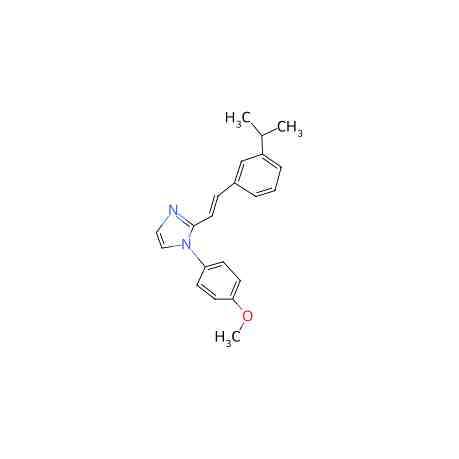 COc1ccc(-n2ccnc2C=Cc2cccc(C(C)C)c2)cc1